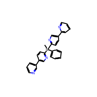 C[Si](c1ccccc1)(c1ccc(-c2cccnc2)cn1)c1ccc(-c2ccccn2)cn1